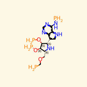 PCOC[C@H]1N[C@@H](c2c[nH]c3c(NP)ncnc23)[C@H](OP)[C@@H]1OP